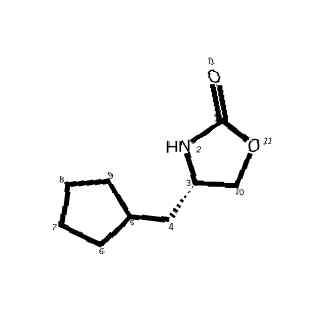 O=C1N[C@@H](CC2CCCC2)CO1